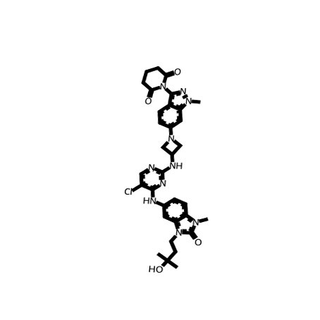 Cn1nc(N2C(=O)CCCC2=O)c2ccc(N3CC(Nc4ncc(Cl)c(Nc5ccc6c(c5)n(CCC(C)(C)O)c(=O)n6C)n4)C3)cc21